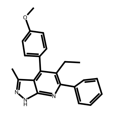 CCc1c(-c2ccccc2)nc2[nH]nc(C)c2c1-c1ccc(OC)cc1